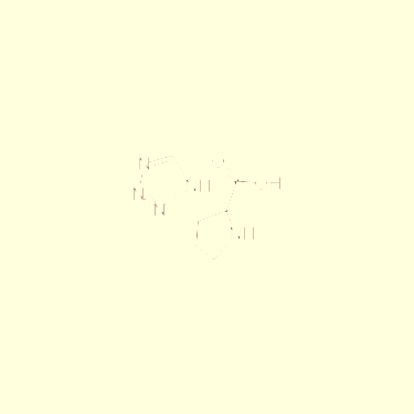 O=C(O)C1CCCN1.c1nnn[nH]1